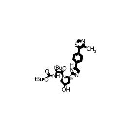 Cc1ncsc1-c1ccc(-c2cnc([C@@H]3C[C@@H](O)CN3C(=O)C(NC(=O)OC(C)(C)C)C(C)(C)C)[nH]2)cc1